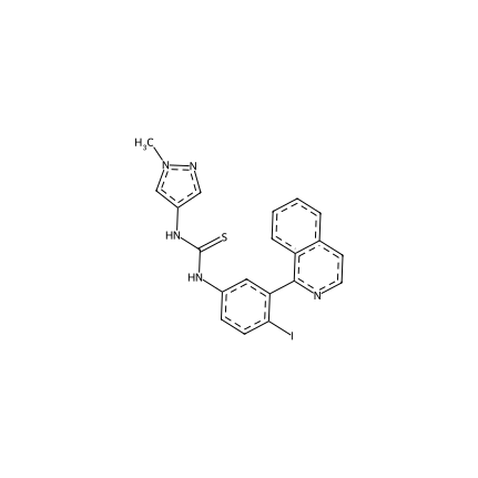 Cn1cc(NC(=S)Nc2ccc(I)c(-c3nccc4ccccc34)c2)cn1